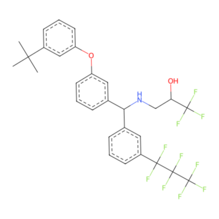 CC(C)(C)c1cccc(Oc2cccc(C(NCC(O)C(F)(F)F)c3cccc(C(F)(F)C(F)(F)C(F)(F)F)c3)c2)c1